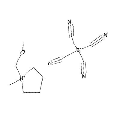 COC[N+]1(C)CCCC1.N#C[B-](C#N)(C#N)C#N